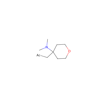 CC(=O)CC1(N(C)C)CCOCC1